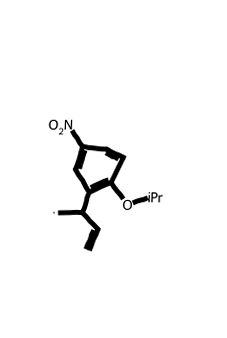 [CH2]C(C=C)c1cc([N+](=O)[O-])ccc1OC(C)C